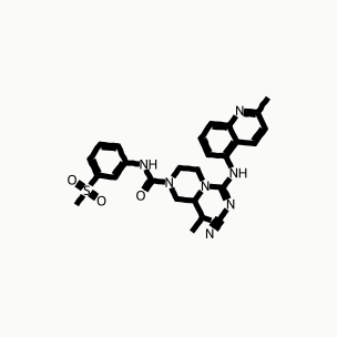 Cc1ccc2c(N/C(=N/C#N)N3CCN(C(=O)Nc4cccc(S(C)(=O)=O)c4)CC3C(C)C)cccc2n1